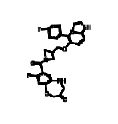 O=C1CNc2cc(C(=O)N3CC(COC4=C(c5ccc(F)cc5)N5C=CNC5C=C4)C3)c(F)cc2OC1